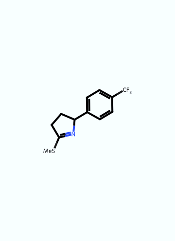 CSC1=NC(c2ccc(C(F)(F)F)cc2)CC1